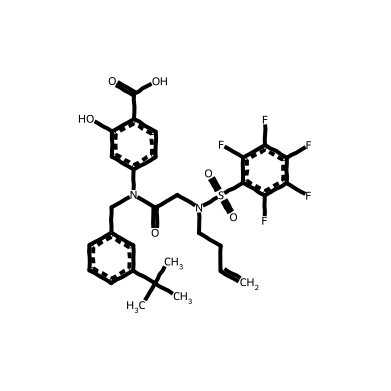 C=CCCN(CC(=O)N(Cc1cccc(C(C)(C)C)c1)c1ccc(C(=O)O)c(O)c1)S(=O)(=O)c1c(F)c(F)c(F)c(F)c1F